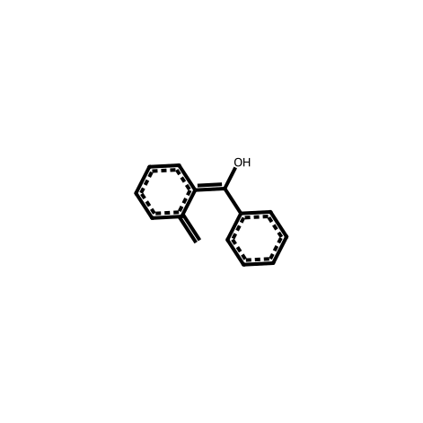 C=c1cccc/c1=C(\O)c1ccccc1